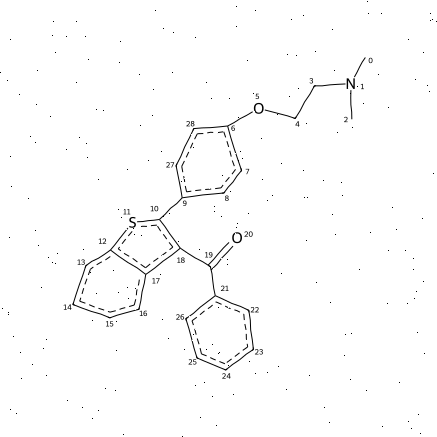 CN(C)CCOc1ccc(-c2sc3ccccc3c2C(=O)c2ccccc2)cc1